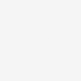 Cc1nnc(C(C)S)o1